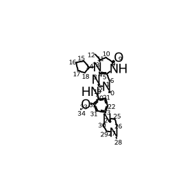 C=N/C(=N\C1=C(C)NC(=O)CC(C)N1C1CCCC1)Nc1ccc(N2CCN(C)CC2)cc1OC